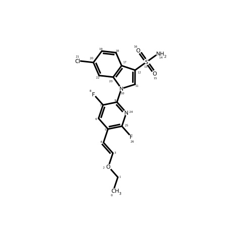 CCO/C=C/c1cc(F)c(-n2cc(S(N)(=O)=O)c3ccc(Cl)cc32)nc1F